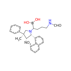 C[C@]1(c2ccccc2)CN(C(CCCNC=O)B(O)O)[C@H](c2cccc3ccccc23)[C@@H]1[N+](=O)[O-]